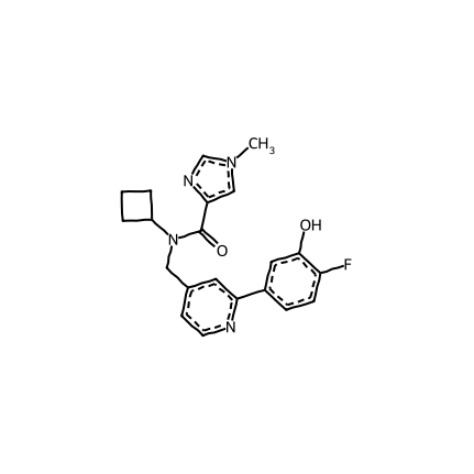 Cn1cnc(C(=O)N(Cc2ccnc(-c3ccc(F)c(O)c3)c2)C2CCC2)c1